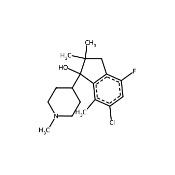 Cc1c(Cl)cc(F)c2c1C(O)(C1CCN(C)CC1)C(C)(C)C2